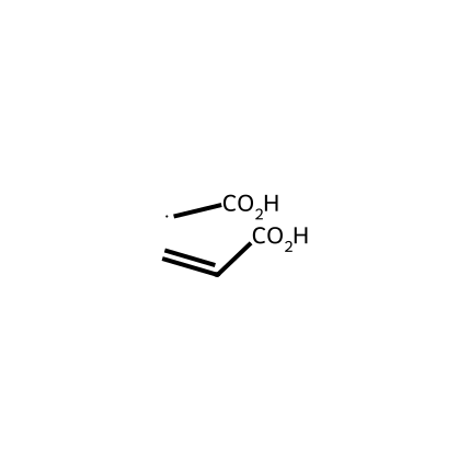 C=CC(=O)O.[CH2]C(=O)O